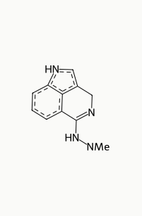 CNNC1=NCc2c[nH]c3cccc1c23